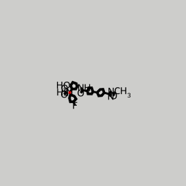 Cc1nc(-c2ccc(-c3ccc(C(=O)Nc4ccc(O)c(N(c5ccc(F)cc5)[SH](=O)=O)c4)cc3)cc2)no1